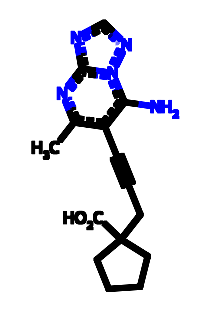 Cc1nc2ncnn2c(N)c1C#CCC1(C(=O)O)CCCC1